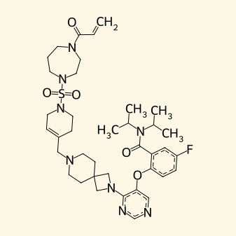 C=CC(=O)N1CCCN(S(=O)(=O)N2CC=C(CN3CCC4(CC3)CN(c3ncncc3Oc3ccc(F)cc3C(=O)N(C(C)C)C(C)C)C4)CC2)CC1